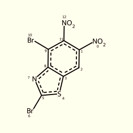 O=[N+]([O-])c1cc2sc(Br)nc2c(Br)c1[N+](=O)[O-]